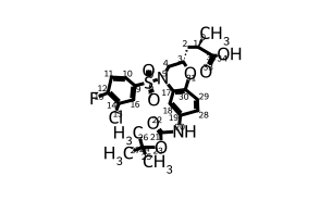 C[C@H](C[C@H]1CN(S(=O)(=O)c2ccc(F)c(Cl)c2)c2cc(NC(=O)OC(C)(C)C)ccc2O1)C(=O)O